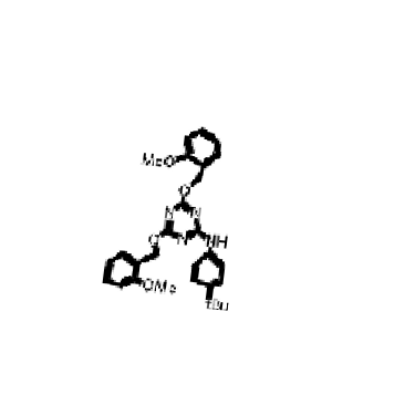 COc1ccccc1COc1nc(Nc2ccc(C(C)(C)C)cc2)nc(OCc2ccccc2OC)n1